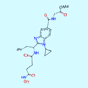 COC(=O)CNC(=O)c1ccc2c(c1)nc(C(CC(C)C)NC(=O)CCC(=O)NO)n2C1CC1